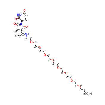 O=C(O)CCOCCOCCOCCOCCOCCOCCOCCOCCNc1cccc2c1C(=O)N(C1CCC(=O)NC1=O)C2=O